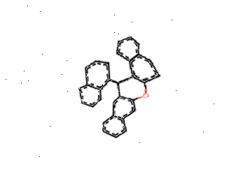 c1ccc2cc3c(cc2c1)Oc1ccc2ccccc2c1C3c1cccc2ccccc12